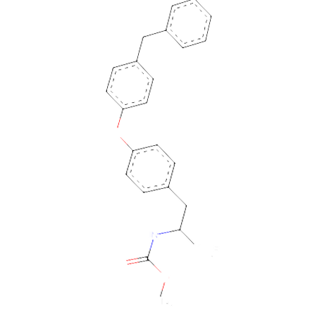 CCOC(=O)C(Cc1ccc(Oc2ccc(Cc3ccccc3)cc2)cc1)NC(=O)OC(C)(C)C